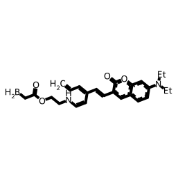 BCC(=O)OCCN\C=C/C(=C\C=C)/C=C/c1cc2ccc(N(CC)CC)cc2oc1=O